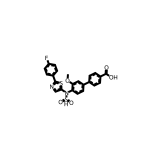 COc1cc(-c2ccc(C(=O)O)cc2)ccc1N(c1cnc(-c2ccc(F)cc2)s1)[SH](=O)=O